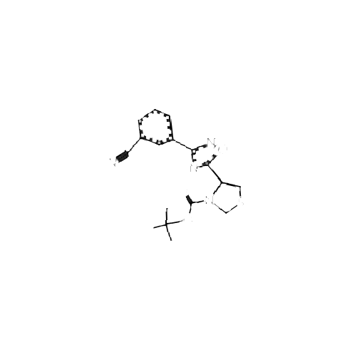 CC(C)(C)OC(=O)N1CSCC1c1nc(-c2cccc(C#N)c2)no1